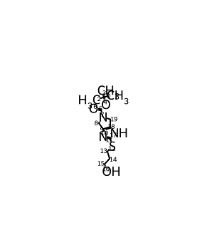 CC(C)(C)OC(=O)N1Cc2nc(SCCCO)[nH]c2C1